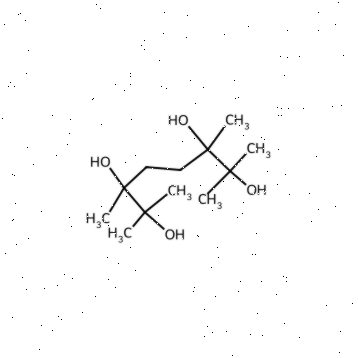 CC(C)(O)C(C)(O)CCC(C)(O)C(C)(C)O